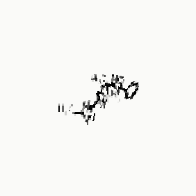 CCc1noc(-c2cc(CC(C)(C)c3noc(-c4ccccc4)n3)no2)n1